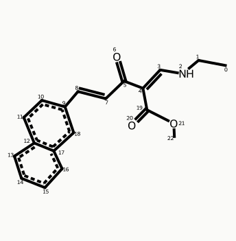 CCNC=C(C(=O)C=Cc1ccc2ccccc2c1)C(=O)OC